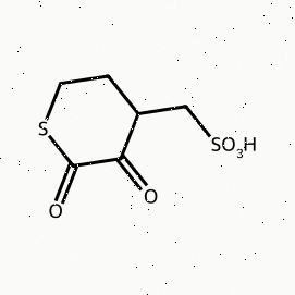 O=C1SCCC(CS(=O)(=O)O)C1=O